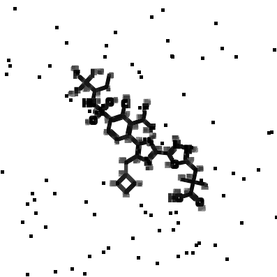 CCC(NS(=O)(=O)c1ccc(-c2sc(-c3nnc(CC(C)(C)C(=O)O)o3)nc2CC2CCC2)c(C(F)F)c1Cl)C(F)(F)F